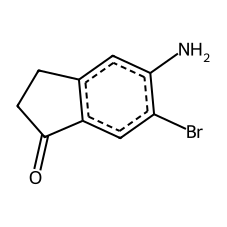 Nc1cc2c(cc1Br)C(=O)CC2